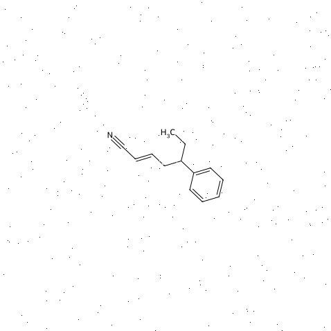 CCC(CC=CC#N)c1ccccc1